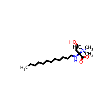 CCCCCCCCCCCCNC(CCO)(C(=O)[O-])[N+](C)(C)C